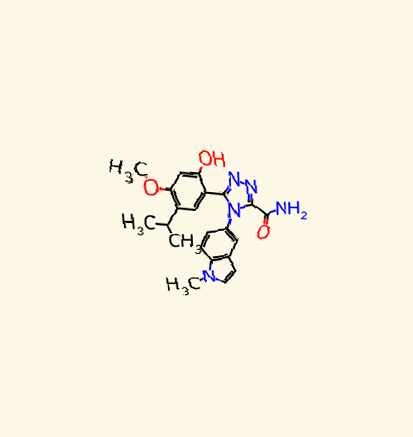 COc1cc(O)c(-c2nnc(C(N)=O)n2-c2ccc3c(ccn3C)c2)cc1C(C)C